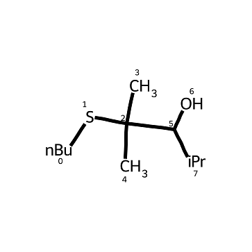 CCCCSC(C)(C)C(O)C(C)C